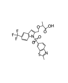 Cc1nc2ccc(S(=O)(=O)n3c(COC(C)C(=O)O)cc4cc(C(F)(F)F)ccc43)cc2s1